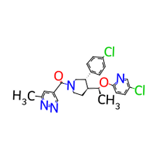 Cc1cc(C(=O)N2CC[C@H]([C@H](C)Oc3ccc(Cl)cn3)[C@@H](c3ccc(Cl)cc3)C2)cnn1